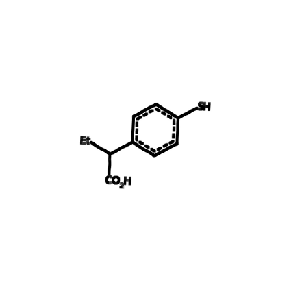 CCC(C(=O)O)c1ccc(S)cc1